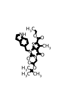 CCOC(=O)c1sc2c(c1C)c(=O)n(CC(=O)OC(C)(C)C)c(=O)n2Cc1ccc2[nH]ccc2c1